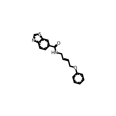 O=C(NC/C=C/COc1ccccc1)c1ccc2ncsc2c1